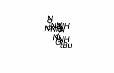 CC(C)(C)CC(=O)Nc1cncc(-c2cnc3[nH]nc(-c4nc5c(-c6ccncc6)cncc5[nH]4)c3c2)c1